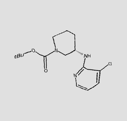 CC(C)(C)OC(=O)N1CCC[C@H](Nc2ncccc2Cl)C1